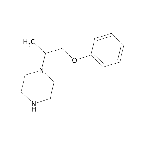 CC(COc1ccccc1)N1CCNCC1